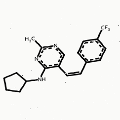 Cc1ncc(/C=C\c2ccc(C(F)(F)F)cc2)c(NC2CCCC2)n1